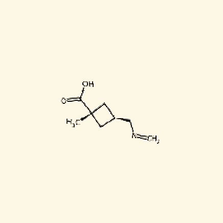 C=NC[C@H]1C[C@](C)(C(=O)O)C1